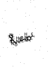 CC(F)c1ccc2nc(-c3cc(CNC(=O)c4cc(-c5ccncc5)ncn4)no3)[nH]c2c1